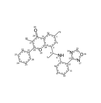 Cc1cc(C(C)Nc2ccccc2-c2ncon2)c2oc(-c3ccccc3)c(C)c(=O)c2c1